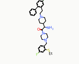 CCSc1cc(F)ccc1CN1CCN(C(=O)C(N)C2CCN(CCc3cc(Cl)ccc3-c3ccccc3)CC2)CC1